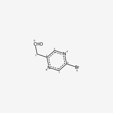 O=CCc1cnc(Br)cn1